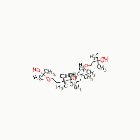 CC(CC(C)(C)C(C)(C)OCCC(C)(C)O)OC(C)(C)C(C)(C)CCOC(C)(C)O